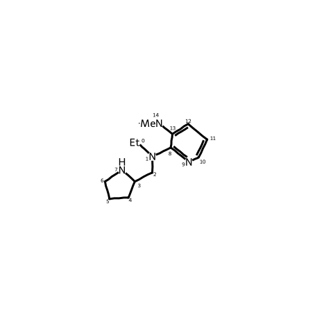 CCN(CC1CCCN1)c1ncccc1[N]C